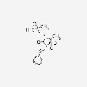 CN1C(CCC(C)(C)Cl)C(=O)N(CSc2ccccc2)S1(=O)=O